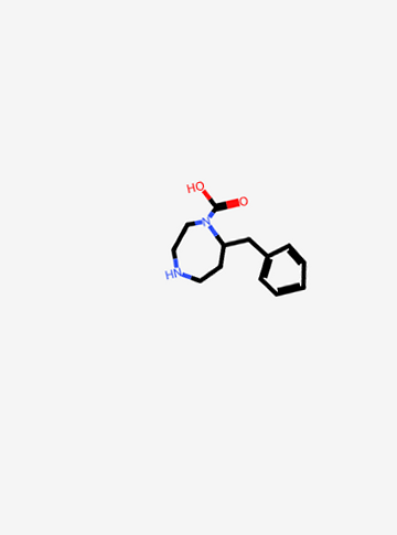 O=C(O)N1CCNCCC1Cc1ccccc1